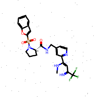 CN/C(=C\C(=N)C(F)(F)F)c1cc(CNC(=O)[C@@H]2CCCN2S(=O)(=O)c2cc3ccccc3o2)ccn1